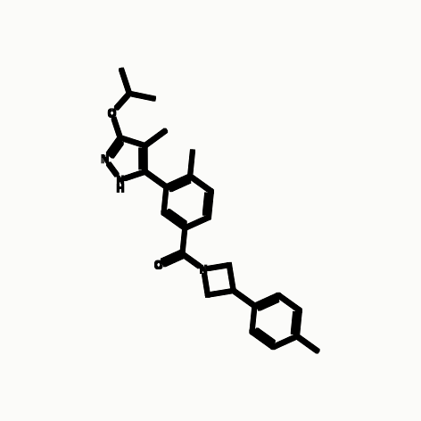 Cc1ccc(C2CN(C(=O)c3ccc(C)c(-c4[nH]nc(OC(C)C)c4C)c3)C2)cc1